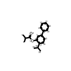 CC(C)C(=O)Oc1cc(-c2ccccc2)ccc1C(C)C